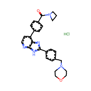 Cl.O=C(c1ccc(-c2ccnc3[nH]c(-c4ccc(CN5CCOCC5)cc4)nc23)cc1)N1CCC1